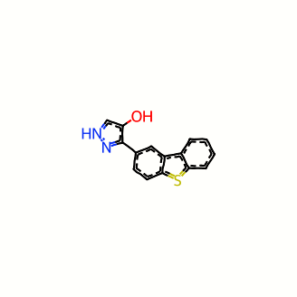 Oc1c[nH]nc1-c1ccc2sc3ccccc3c2c1